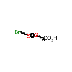 CC(C)(CCCCOc1ccc(OCCCCCBr)cc1)C(=O)O